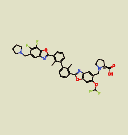 Cc1c(-c2nc3cc(CN4CCC[C@H]4C(=O)O)c(OC(F)F)cc3o2)cccc1-c1cccc(-c2nc3cc(CN4CCCC4)c(F)c(F)c3o2)c1C